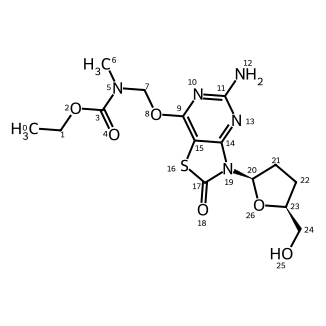 CCOC(=O)N(C)COc1nc(N)nc2c1sc(=O)n2[C@H]1CC[C@@H](CO)O1